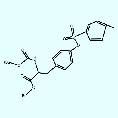 Cc1ccc(S(=O)(=O)Oc2ccc(CC(NC(=O)OC(C)(C)C)C(=O)OC(C)(C)C)cc2)cc1